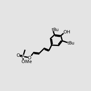 COP(C)(=O)OC=CC=Cc1cc(C(C)(C)C)c(O)c(C(C)(C)C)c1